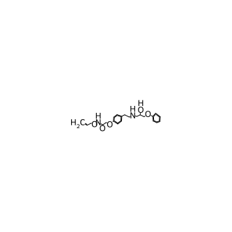 C=CCONC(=O)COc1ccc(CCNCC(O)COc2ccccc2)cc1